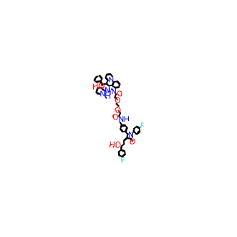 O=C(COCCOCC(=O)Nc1ccccc1C(Nc1ccccn1)C(c1ccccn1)C(O)c1ccccc1)NCc1ccc(C2C(CCC(O)c3ccc(F)cc3)C(=O)N2c2ccc(F)cc2)cc1